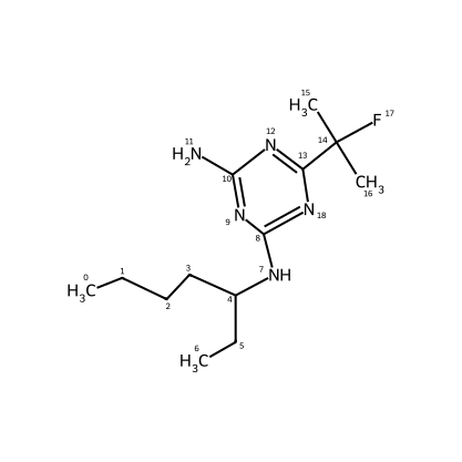 CCCCC(CC)Nc1nc(N)nc(C(C)(C)F)n1